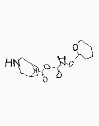 O=C(NOC1CCCCO1)OC(=O)N1C2CCC1CNC2